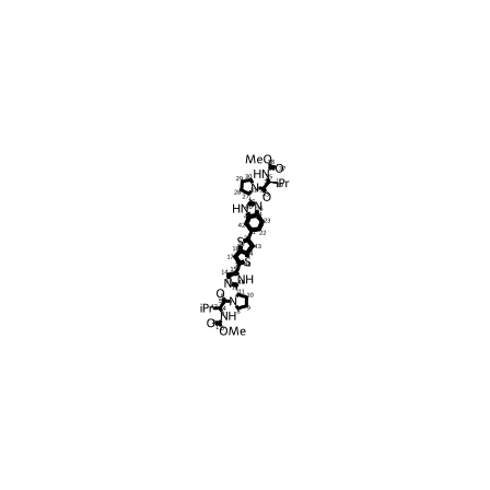 COC(=O)NC(C(=O)N1CCC[C@H]1c1ncc(-c2cc3sc(-c4ccc5nc([C@@H]6CCCN6C(=O)[C@@H](NC(=O)OC)C(C)C)[nH]c5c4)cc3s2)[nH]1)C(C)C